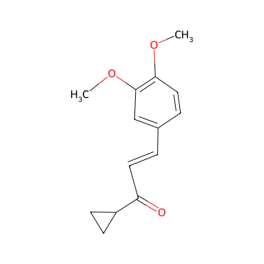 COc1ccc(/C=C/C(=O)C2CC2)cc1OC